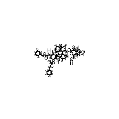 CC1C[C@@H]2OC(O[C@H]3OC(CO)[C@H]4NC(=O)O[C@@H]4C3O)C3C(OC(=O)N3C)C2O[C@@H]1O[C@@H]1C(NC(=O)OCc2ccccc2)C[C@@H](NC(=O)OCc2ccccc2)C2OC3(CCCCC3)O[C@H]21